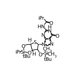 CC(C)C(=O)Nc1nc2c(ncn2[C@@H]2S[C@@H]3CO[Si](C(C)C)(C(C)(C)C)O[C@H]3C2O[Si](C)(C)C(C)(C)C)c(=O)[nH]1